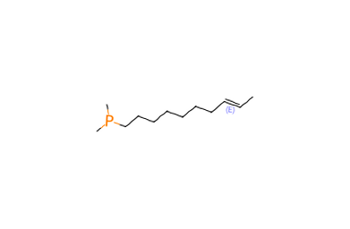 C/C=C/CCCCCCCP(C)C